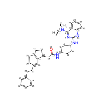 CN(C)c1nc(N[C@H]2CC[C@@H](NC(=O)CC3CCc4ccc(CCc5ccccc5)cc43)CC2)nc2ccccc12